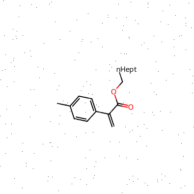 C=C(C(=O)OCCCCCCCC)c1ccc(C)cc1